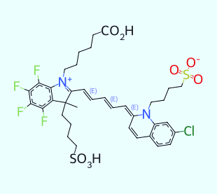 CC1(CCCCS(=O)(=O)O)C(/C=C/C=C/C=C2\C=Cc3ccc(Cl)cc3N2CCCCS(=O)(=O)[O-])=[N+](CCCCCC(=O)O)c2c(F)c(F)c(F)c(F)c21